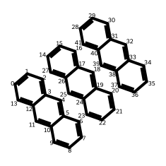 c1ccc2cc3ccccc3cc2c1.c1ccc2cc3ccccc3cc2c1.c1ccc2cc3ccccc3cc2c1